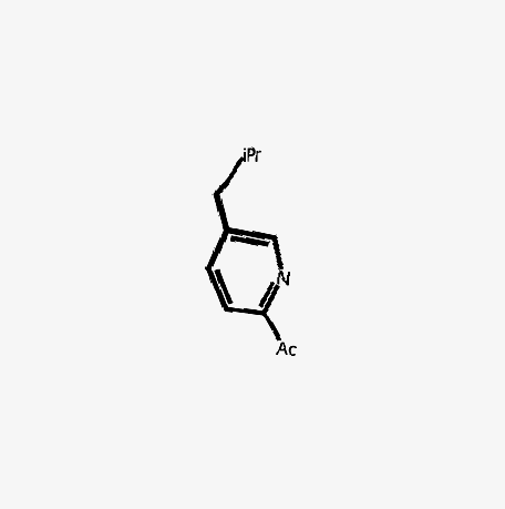 CC(=O)c1ccc(CC(C)C)cn1